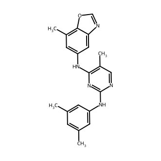 Cc1cc(C)cc(Nc2ncc(C)c(Nc3cc(C)c4ocnc4c3)n2)c1